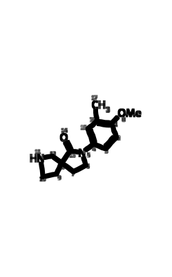 COc1ccc(N2CCC3(CCNC3)C2=O)cc1C